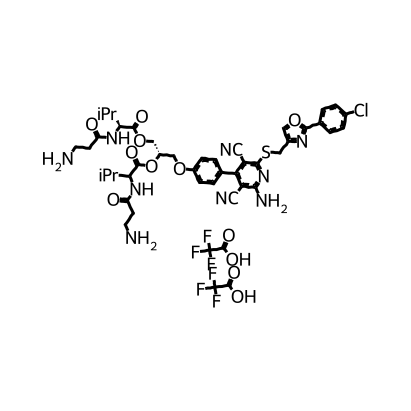 CC(C)C(NC(=O)CCN)C(=O)O[C@H](COC(=O)[C@@H](NC(=O)CCN)C(C)C)COc1ccc(-c2c(C#N)c(N)nc(SCc3coc(-c4ccc(Cl)cc4)n3)c2C#N)cc1.O=C(O)C(F)(F)F.O=C(O)C(F)(F)F